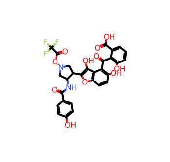 O=C(NC1CN(OC(=O)C(F)(F)F)CC1c1oc2ccc(O)c(C(=O)c3c(O)cccc3C(=O)O)c2c1O)c1ccc(O)cc1